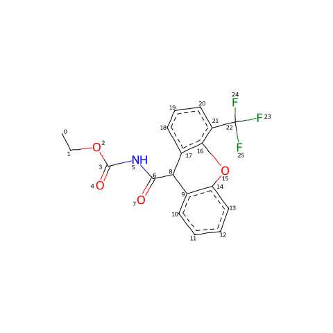 CCOC(=O)NC(=O)C1c2ccccc2Oc2c1cccc2C(F)(F)F